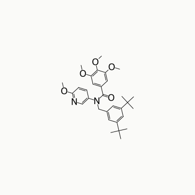 COc1ccc(N(Cc2cc(C(C)(C)C)cc(C(C)(C)C)c2)C(=O)c2cc(OC)c(OC)c(OC)c2)cn1